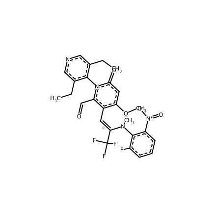 CCc1cncc(CC)c1-n1c(C=O)c(/C=C(\N(C)c2c(F)cccc2[N+](=O)[O-])C(F)(F)F)c(OC)cc1=O